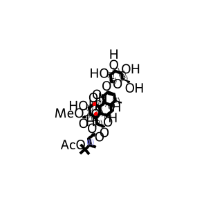 COC(=O)[C@]12OC[C@]34[C@H]([C@@H](O)[C@@H]1O)[C@@]1(C)C(=O)C(O[C@@H]5O[C@H](CO)[C@@H](O)[C@H](O)[C@H]5O)=C[C@@H](C)[C@@H]1C[C@H]3OC(=O)[C@H](OC(=O)/C=C(\C)C(C)(C)OC(C)=O)[C@@H]24